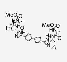 COC(=O)N[C@@H](C)C(=O)N[C@@H](CC1CC1)c1ncc(-c2ccc(-c3ccc(-c4cnc([C@@H]5C[C@H]6C[C@H]6N5C(=O)[C@H](C)NC(=O)OC)[nH]4)cc3)cc2)[nH]1